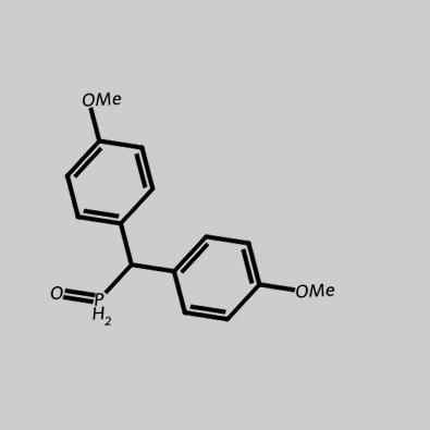 COc1ccc(C([PH2]=O)c2ccc(OC)cc2)cc1